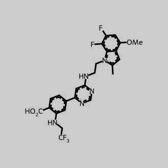 COc1cc(F)c(F)c2c1cc(C)n2CCNc1cc(-c2ccc(C(=O)O)c(NCC(F)(F)F)c2)ncn1